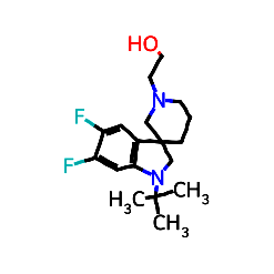 CC(C)(C)N1CC2(CCCN(CCO)C2)c2cc(F)c(F)cc21